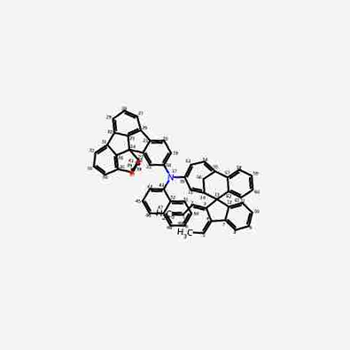 C=C/C=C1\C(=C/C)c2ccccc2C12C1=CC(N(c3ccc4c(c3)C35c6c-4cccc6-c4cccc(c43)C3C=CC=CC35)c3cccc4ccccc34)=CC=C(C1)c1ccccc12